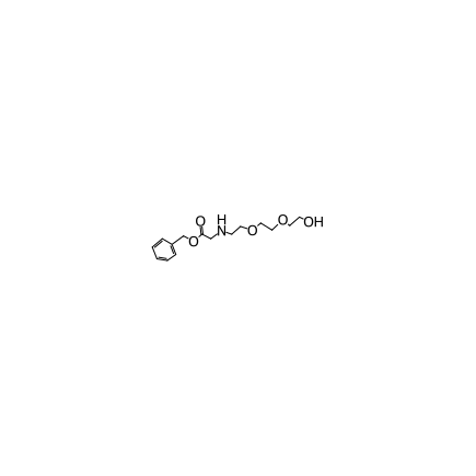 O=C(CNCCOCCOCCO)OCc1ccccc1